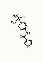 CC(C)(C#N)N1C=CC(NC(=O)c2ccsc2)=CC1